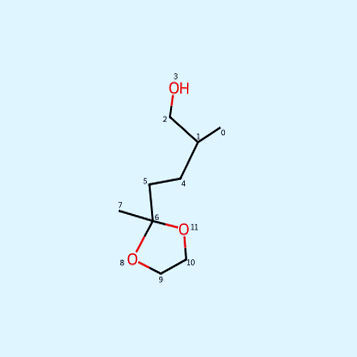 CC(CO)CCC1(C)OCCO1